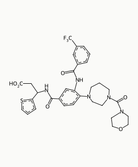 O=C(O)CC(NC(=O)c1ccc(N2CCCN(C(=O)N3CCOCC3)CC2)c(NC(=O)c2cccc(C(F)(F)F)c2)c1)c1cccs1